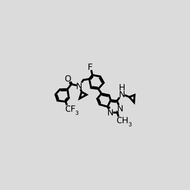 Cc1nc(NC2CC2)c2cc(-c3ccc(F)c(CN(C(=O)c4cccc(C(F)(F)F)c4)C4CC4)c3)ccc2n1